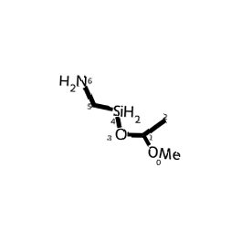 COC(C)O[SiH2]CN